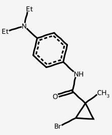 CCN(CC)c1ccc(NC(=O)C2(C)CC2Br)cc1